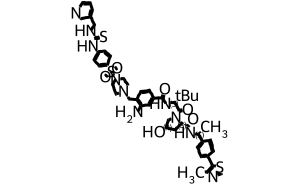 Cc1ncsc1-c1ccc([C@H](C)NC(=O)[C@@H]2C[C@@H](O)CN2C(=O)[C@@H](NC(=O)c2ccc(CN3CCN(S(=O)(=O)c4ccc(NC(=S)NCc5cccnc5)cc4)CC3)c(N)c2)C(C)(C)C)cc1